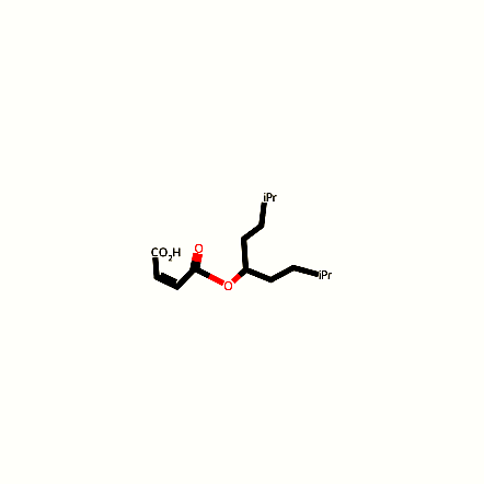 CC(C)CCC(CCC(C)C)OC(=O)/C=C\C(=O)O